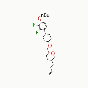 C=CCCC1CCC(COC2CCC(c3ccc(OCCCC)c(F)c3F)CC2)OC1